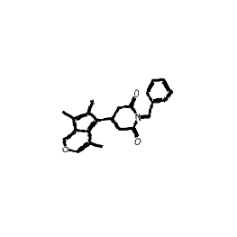 Cc1cocc2c(C)c(C)c(C3CC(=O)N(Cc4ccccc4)C(=O)C3)c1-2